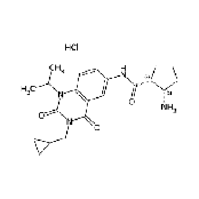 CC(C)n1c(=O)n(CC2CC2)c(=O)c2cc(NC(=O)[C@@H]3CCC[C@@H]3N)ccc21.Cl